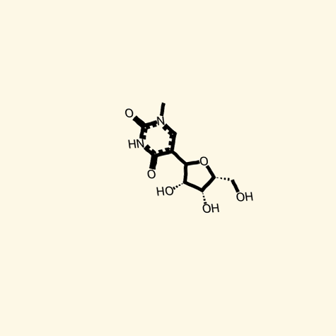 Cn1cc(C2O[C@H](CO)[C@H](O)[C@@H]2O)c(=O)[nH]c1=O